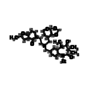 CCN1C(=O)C(C)(C)C(=O)N(C)c2cc(CN(CCn3ccc4oc(C)cc4c3=O)Cc3cccc4c3OCO4)ccc21